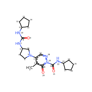 Cc1c(N2CCC(NC(=O)NC3CCCC3)C2)cnn(C(=O)NC2CCCC2)c1=O